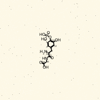 N[C@@H](Cc1ccc(OP(=O)(O)O)c(O)c1)C(=O)NCC(=O)O